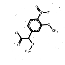 COc1cc(C(OC)C(=O)Cl)ccc1[N+](=O)[O-]